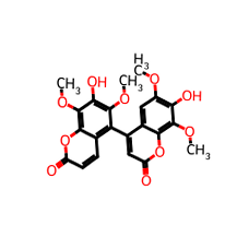 COc1cc2c(-c3c(OC)c(O)c(OC)c4oc(=O)ccc34)cc(=O)oc2c(OC)c1O